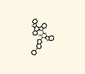 c1ccc(-c2ccc3cc(C4NC(n5c6ccccc6c6c7c8ccccc8sc7c7ccccc7c65)=Nc5c4sc4ccccc54)ccc3c2)cc1